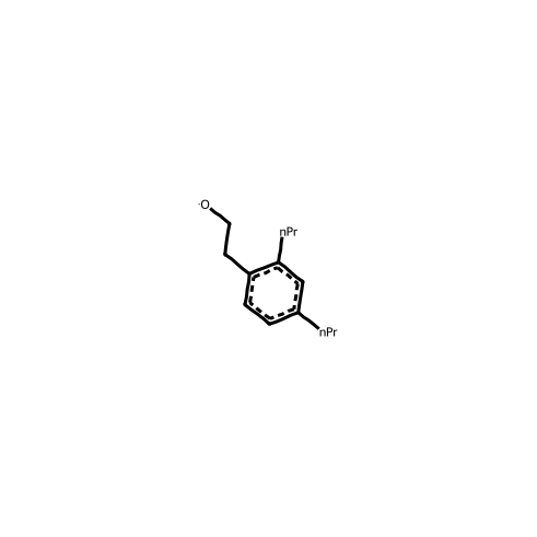 CCCc1ccc(CC[O])c(CCC)c1